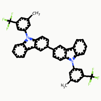 Cc1cc(-n2c3ccccc3c3cc(-c4ccc5c(c4)c4ccccc4n5-c4cc(C)cc(C(F)(F)F)c4)ccc32)cc(C(F)(F)F)c1